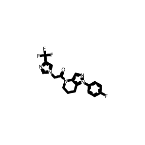 O=C(Cn1cnc(C(F)(F)F)c1)N1CCCc2c1cnn2-c1ccc(F)cc1